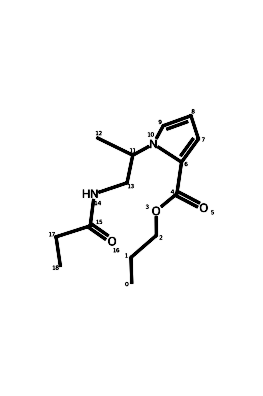 CCCOC(=O)c1cccn1C(C)CNC(=O)CC